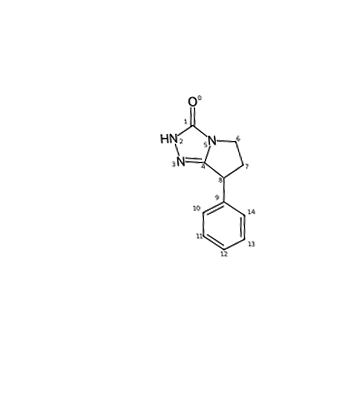 O=c1[nH]nc2n1CCC2c1ccccc1